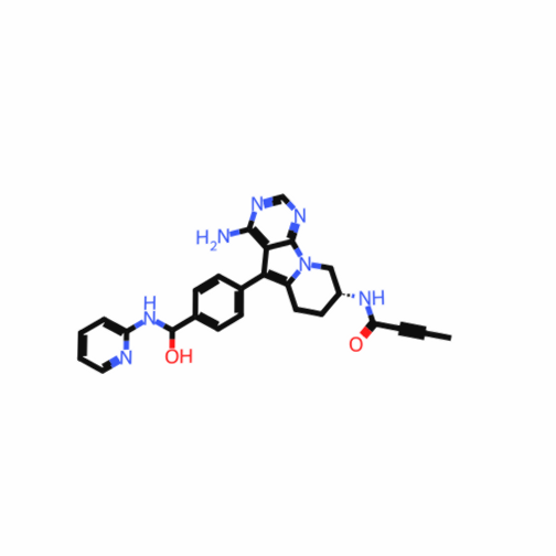 CC#CC(=O)N[C@@H]1CCc2c(-c3ccc(C(O)Nc4ccccn4)cc3)c3c(N)ncnc3n2C1